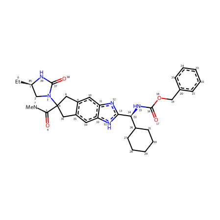 CC[C@@H]1CN(C2(C(=O)NC)Cc3cc4nc([C@@H](NC(=O)OCc5ccccc5)C5CCCCC5)[nH]c4cc3C2)C(=O)N1